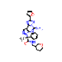 CC(C(=O)NCC1CCCOC1)(c1ccccc1)n1ncc2c1nc(N)n1nc(-c3ccco3)nc21